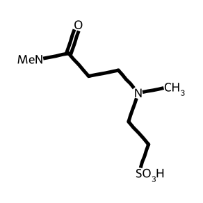 CNC(=O)CCN(C)CCS(=O)(=O)O